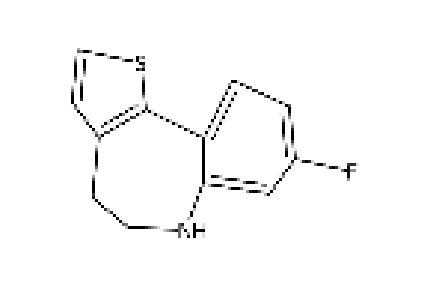 Fc1ccc2c(c1)NCCc1ccsc1-2